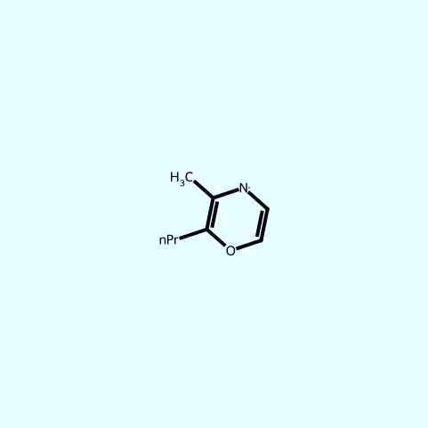 CCCC1=C(C)[N]C=CO1